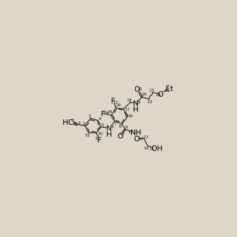 C#Cc1ccc(Nc2c(C(=O)NOCCO)cc(CNC(=O)CCOCC)c(F)c2F)c(F)c1